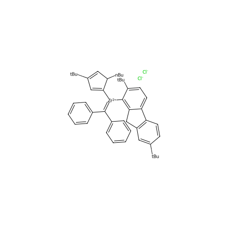 CCCCC1C=C(C(C)(C)C)C=[C]1[Zr+2](=[C](c1ccccc1)c1ccccc1)[c]1c(C(C)(C)C)ccc2c1Cc1cc(C(C)(C)C)ccc1-2.[Cl-].[Cl-]